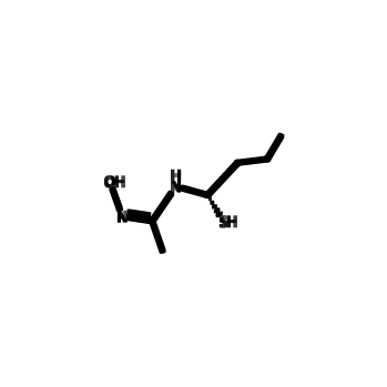 CCC[C@H](S)N/C(C)=N\O